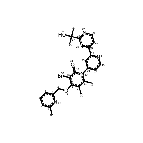 Cc1cccc(COc2c(C)c(C)n(-c3ccnc(-c4ccnc(C(C)(C)O)n4)c3)c(=O)c2Br)n1